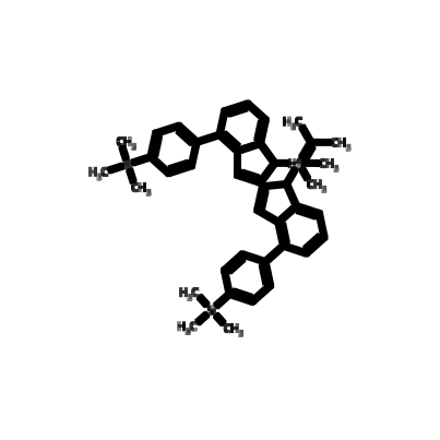 C[C](C)=[Hf]([CH3])([CH3])([CH]1C=Cc2c(-c3ccc([Si](C)(C)C)cc3)cccc21)[CH]1C=Cc2c(-c3ccc([Si](C)(C)C)cc3)cccc21